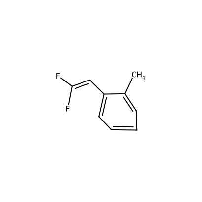 Cc1ccccc1C=C(F)F